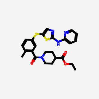 CCOC(=O)C1CCN(C(=O)c2cc(Sc3cnc(Nc4ccccn4)s3)ccc2C)CC1